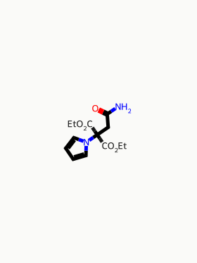 CCOC(=O)C(CC(N)=O)(C(=O)OCC)n1cccc1